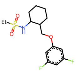 CCS(=O)(=O)NC1CCCCC1COc1cc(F)cc(F)c1